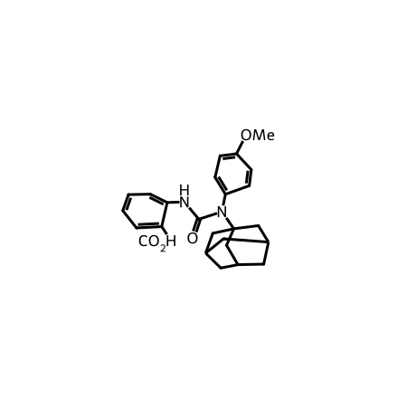 COc1ccc(N(C(=O)Nc2ccccc2C(=O)O)C23CC4CC(CC(C4)C2)C3)cc1